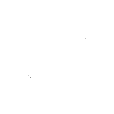 [CH2]CN(C(=O)CCNCCc1ccc(C(=O)NCc2ccccc2)cc1)C1CCCCCC1